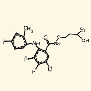 CCC(O)CCONC(=O)c1cc(Cl)c(F)c(F)c1Nc1ccc(I)cc1C